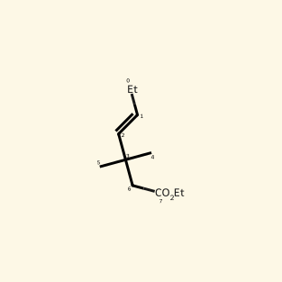 CC/C=C/C(C)(C)CC(=O)OCC